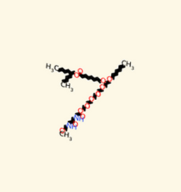 CCCCCCCCOCC(COCCOCCOCCOCCOC(=O)CNCC(=O)CNCCOC)OCCCCCCCC(=O)OCC(CCCCC)CCCCC